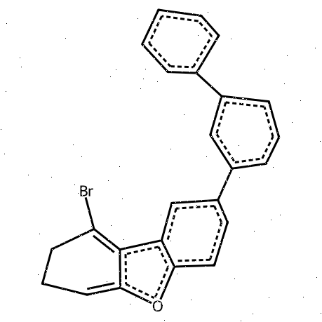 BrC1=c2c(oc3ccc(-c4cccc(-c5ccccc5)c4)cc23)=CCC1